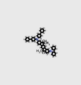 CC1(C)c2ccc(-n3c4ccccc4c4ccccc43)cc2-c2cc3c(cc21)-c1ccc(N(c2ccc(-c4ccccc4)cc2)c2ccc(-c4ccccc4)cc2)cc1C3(C)C